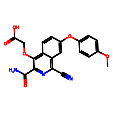 COc1ccc(Oc2ccc3c(OCC(=O)O)c(C(N)=O)nc(C#N)c3c2)cc1